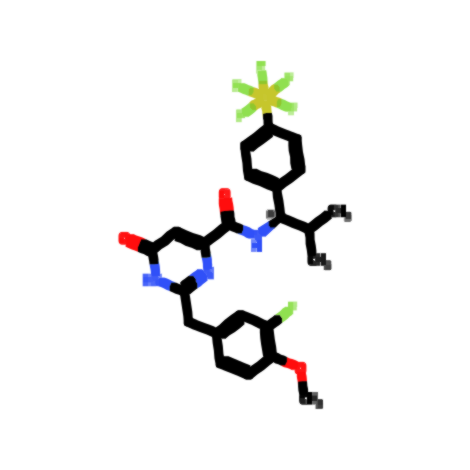 COc1ccc(Cc2nc(C(=O)N[C@@H](c3ccc(S(F)(F)(F)(F)F)cc3)C(C)C)cc(=O)[nH]2)cc1F